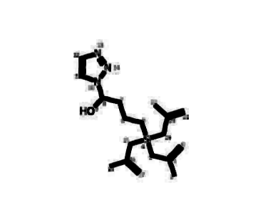 C=C(C)C[Si](CCCC(O)n1ccnn1)(CC(=C)C)CC(=C)C